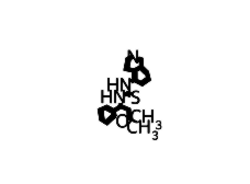 CC1(C)CC(NC(=S)Nc2cccc3cnccc23)c2ccccc2O1